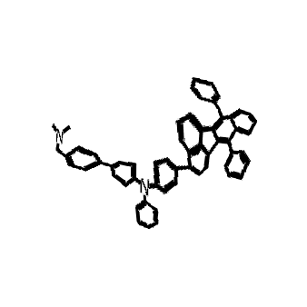 CN(C)Cc1ccc(-c2ccc(N(c3ccccc3)c3ccc(-c4ccc5c6c(cccc46)-c4c-5c(-c5ccccc5)c5ccccc5c4-c4ccccc4)cc3)cc2)cc1